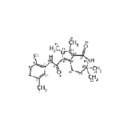 Cc1ccc(F)c(NC(=O)c2c3c(c(C)n2C)C(=O)NC(C)(C)CC3)c1